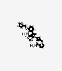 NC(=O)[C@@H]1CCCN1CC1CC(n2cc(-c3cccc(OCC4CCCO4)c3)c3c(N)ncnc32)C1